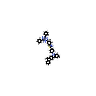 CC1(C)c2ccccc2-c2cc3c4ccccc4n(-c4ccc(-c5nc6ccc(-c7nc(-c8ccccc8)nc(-c8ccccc8)n7)cc6s5)cc4)c3cc21